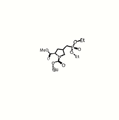 CCOP(=O)(CC1CC(C(=O)OC)N(C(=O)OC(C)(C)C)C1)OCC